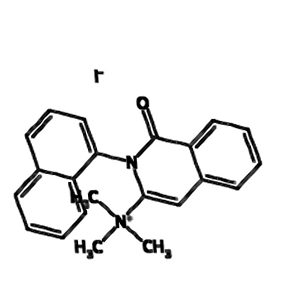 C[N+](C)(C)c1cc2ccccc2c(=O)n1-c1cccc2ccccc12.[I-]